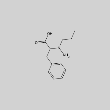 CCCN(N)C(Cc1ccccc1)C(=O)O